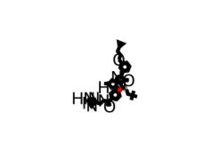 CC1CC(C)C2(C1)N=C(c1cccc(OCCC3CC3)c1)C(=O)N2[C@H](CCC(C)(C)C)c1ccc(C(=O)NCc2nn[nH]n2)cc1